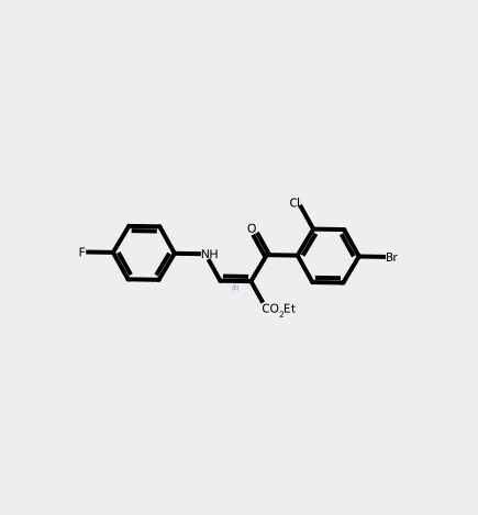 CCOC(=O)/C(=C/Nc1ccc(F)cc1)C(=O)c1ccc(Br)cc1Cl